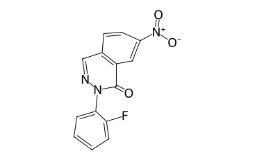 O=c1c2cc([N+](=O)[O-])ccc2cnn1-c1ccccc1F